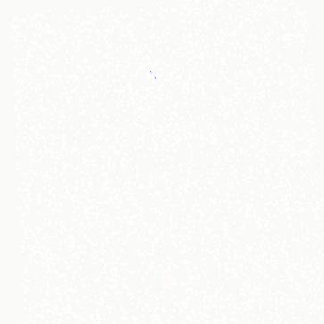 c1ccc(-c2cc(-c3ccccc3)cc(N(c3ccccc3)c3ccc4sc5ccc(-c6ccc(-c7ccc8oc9ccccc9c8c7)cc6)cc5c4c3)c2)cc1